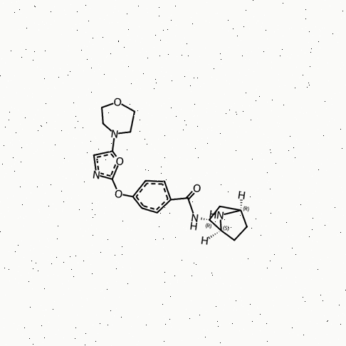 O=C(N[C@@H]1C[C@H]2CC[C@@H]1N2)c1ccc(Oc2ncc(N3CCOCC3)o2)cc1